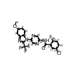 COc1ccc2c(c1)nc(C(F)(F)F)n2-c1cnc(NC(=O)c2cc(Cl)ccc2F)cn1